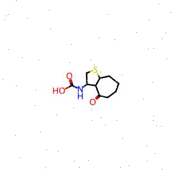 O=C(O)NC1CSC2CCCCC(=O)C12